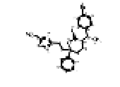 Cc1nnc(CC[C@]2(c3ccccc3)CCN([C@@H](C)c3ccc(Br)cc3)C(=O)O2)o1